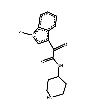 CC(C)n1cc(C(=O)C(=O)NC2CCNCC2)c2ccccc21